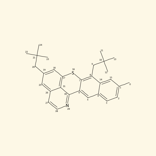 Cc1ccc2cc3c(c(CC(C)(C)C)c2c1)Sc1cc(CC(C)(C)C)cc2ccnc-3c12